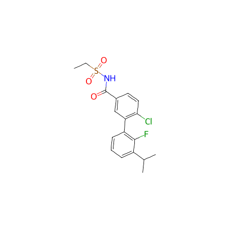 CCS(=O)(=O)NC(=O)c1ccc(Cl)c(-c2cccc(C(C)C)c2F)c1